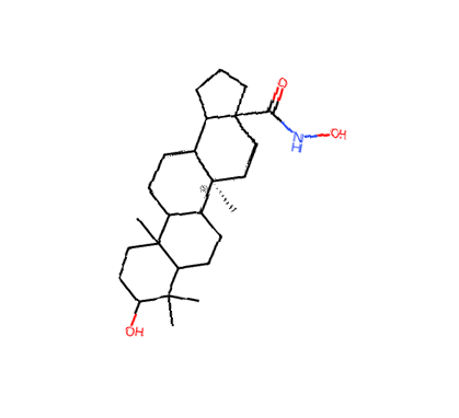 CC1(C)C(O)CCC2(C)C3CCC4C5CCCC5(C(=O)NO)CC[C@@]4(C)C3CCC12